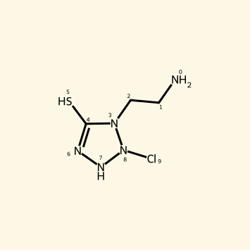 NCCN1C(S)=NNN1Cl